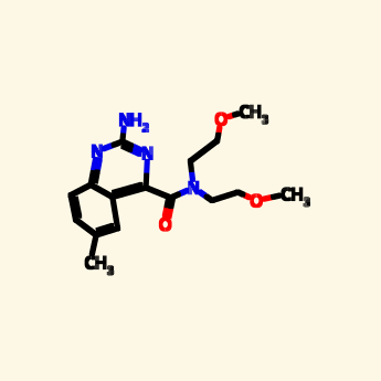 COCCN(CCOC)C(=O)c1nc(N)nc2ccc(C)cc12